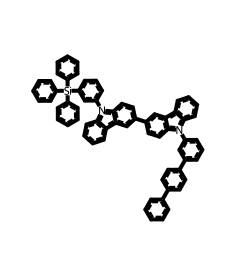 c1ccc(-c2ccc(-c3cccc(-n4c5ccccc5c5cc(-c6ccc7c(c6)c6ccccc6n7-c6cccc([Si](c7ccccc7)(c7ccccc7)c7ccccc7)c6)ccc54)c3)cc2)cc1